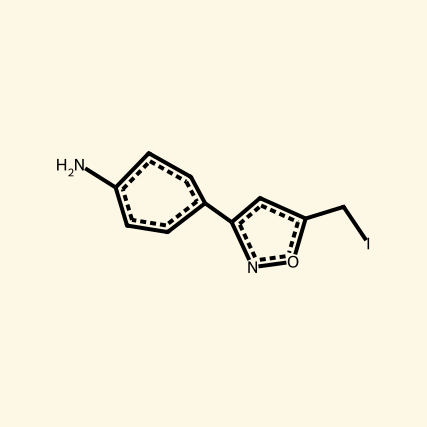 Nc1ccc(-c2cc(CI)on2)cc1